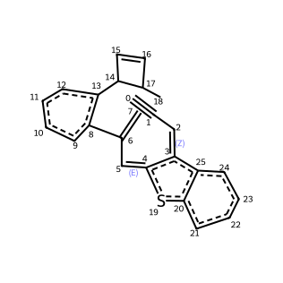 C#C/C=c1\c(=C/C(=C)c2ccccc2C2C=CC2C)sc2ccccc12